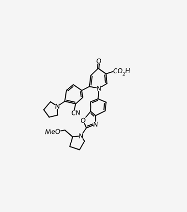 COCC1CCCN1c1nc2ccc(-n3cc(C(=O)O)c(=O)cc3-c3ccc(N4CCCC4)c(C#N)c3)cc2o1